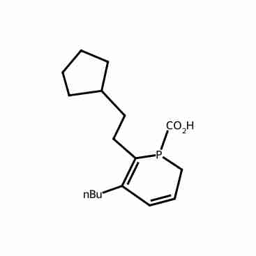 CCCCC1=C(CCC2CCCC2)P(C(=O)O)CC=C1